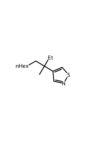 CCCCCCCC(C)(CC)c1cnsc1